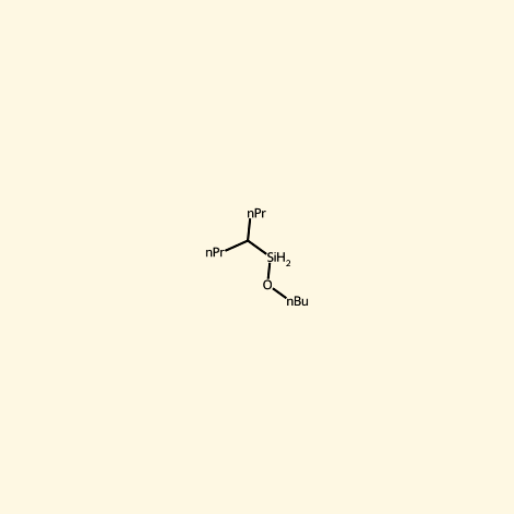 CCCCO[SiH2]C(CCC)CCC